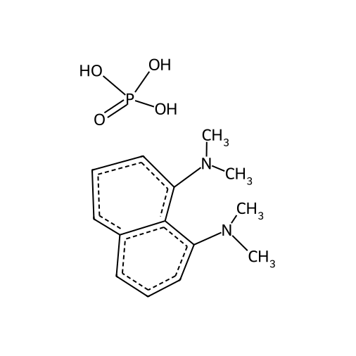 CN(C)c1cccc2cccc(N(C)C)c12.O=P(O)(O)O